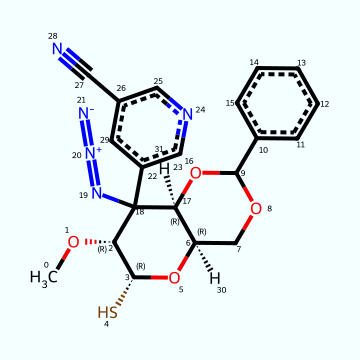 CO[C@H]1[C@@H](S)O[C@@H]2COC(c3ccccc3)O[C@@H]2C1(N=[N+]=[N-])c1cncc(C#N)c1